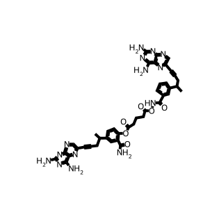 CC(CC#Cc1cnc2nc(N)nc(N)c2n1)c1cccc(C(=O)NOC(=O)CCCC(=O)Oc2ccc(C(C)CC#Cc3cnc4nc(N)nc(N)c4n3)cc2C(N)=O)c1